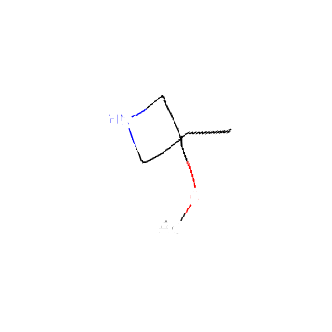 CC(=O)OC1(C)CNC1